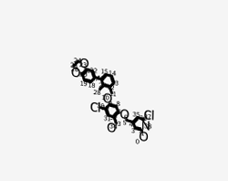 COc1cc(COc2cc(OCc3cccc(-c4ccc5c(c4)OCCO5)c3C)c(Cl)cc2C=O)cc(Cl)n1